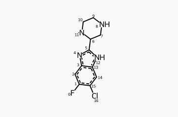 Fc1cc2nc(C3CNCC[N]3)[nH]c2cc1Cl